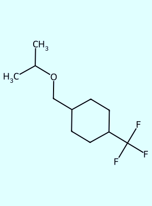 CC(C)OCC1CCC(C(F)(F)F)CC1